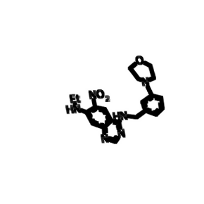 CCNc1cc2ncnc(NCc3cccc(N4CCOCC4)c3)c2cc1[N+](=O)[O-]